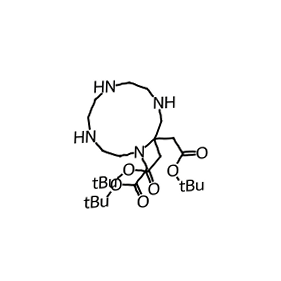 CC(C)(C)OC(=O)CN1CCNCCNCCNCC1(CC(=O)OC(C)(C)C)CC(=O)OC(C)(C)C